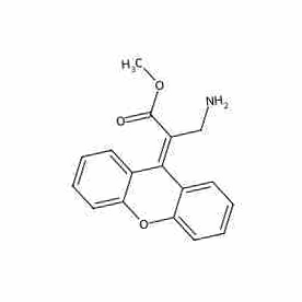 COC(=O)C(CN)=C1c2ccccc2Oc2ccccc21